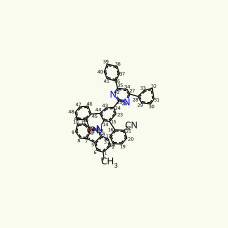 Cc1ccc2c(c1)c1ccccc1n2-c1c(-c2ccccc2C#N)cc(-c2nc(-c3ccccc3)cc(-c3ccccc3)n2)cc1-c1ccccc1C#N